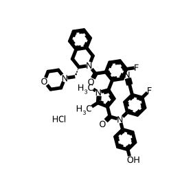 Cc1c(C(=O)N(c2ccc(O)cc2)c2ccc(F)c(C#N)c2)cc(-c2cc(F)ccc2C(=O)N2Cc3ccccc3C[C@H]2CN2CCOCC2)n1C.Cl